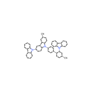 N#Cc1ccc(-c2ccc(-n3c4ccc(C#N)cc4c4cc(-n5c6ccccc6c6ccccc65)ccc43)cc2)c(-n2c3ccccc3c3ccccc32)c1